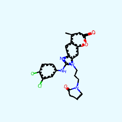 Cc1cc(=O)oc2cc3c(cc12)nc(Nc1ccc(Cl)c(Cl)c1)n3CCCN1CCCC1=O